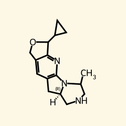 CC1CNC[C@H]2Cc3cc4c(nc3N12)C(C1CC1)OC4